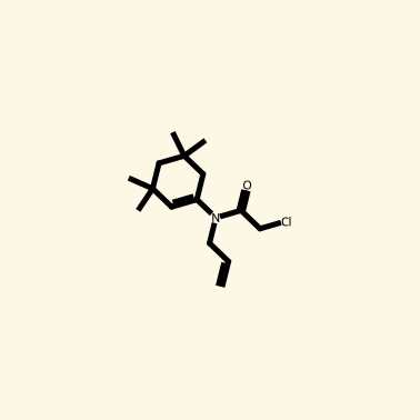 C=CCN(C(=O)CCl)C1=CC(C)(C)CC(C)(C)C1